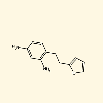 Nc1ccc(CCc2ccco2)c(N)c1